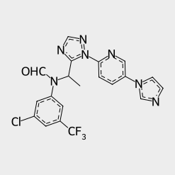 CC(c1ncnn1-c1ccc(-n2ccnc2)cn1)N(C=O)c1cc(Cl)cc(C(F)(F)F)c1